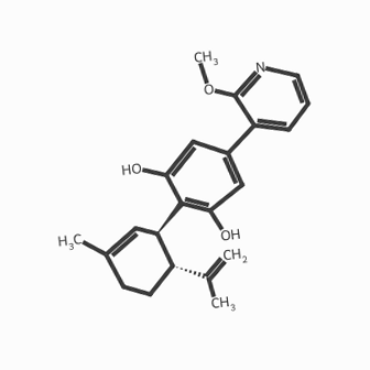 C=C(C)[C@@H]1CCC(C)=C[C@H]1c1c(O)cc(-c2cccnc2OC)cc1O